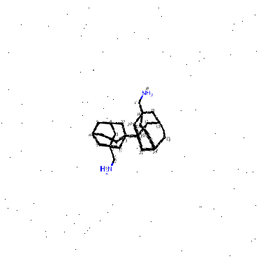 NCC12CC3CC(C1)CC(C14CC5CC(CC(CN)(C5)C1)C4)(C3)C2